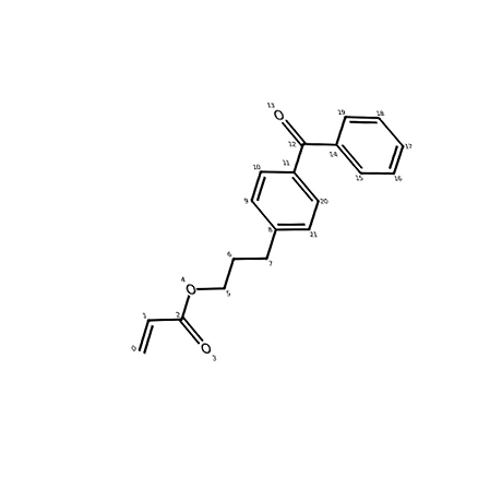 C=CC(=O)OCCCc1ccc(C(=O)c2ccccc2)cc1